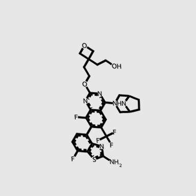 Nc1nc2c(-c3c(C(F)(F)F)cc4c(N5CC6CCC(C5)N6)nc(OCCC5(CCO)COC5)nc4c3F)ccc(F)c2s1